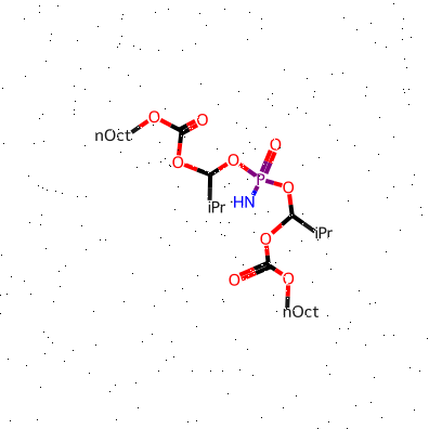 CCCCCCCCOC(=O)OC(OP([NH])(=O)OC(OC(=O)OCCCCCCCC)C(C)C)C(C)C